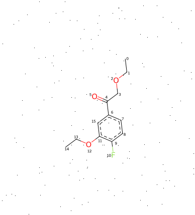 CCOCC(=O)c1ccc(F)c(OCC)c1